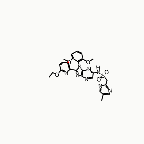 CCOc1cccc(-c2nc3ncc(NS(=O)(=O)Cc4ncc(C)cn4)nc3n2-c2c(OC)cccc2OC)n1